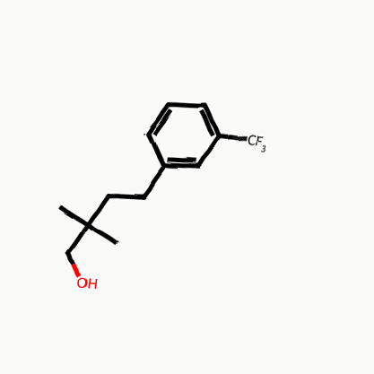 CC(C)(CO)CCc1[c]ccc(C(F)(F)F)c1